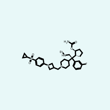 CCNC[C@@](c1cccc(F)c1)(C1CCN(CC2CN(c3ccc(S(=O)(=O)C4CC4)cc3)C2)CC1)[C@H]1CCC[C@@H]1OC(N)=O